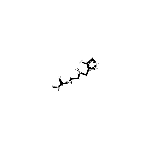 CNC(=S)NCC[S+]([O-])Cc1nscc1Br